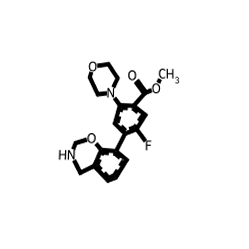 COC(=O)c1cc(F)c(-c2cccc3c2OCNC3)cc1N1CCOCC1